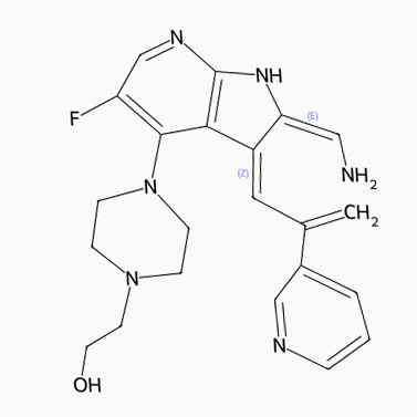 C=C(/C=c1\c(=C/N)[nH]c2ncc(F)c(N3CCN(CCO)CC3)c12)c1cccnc1